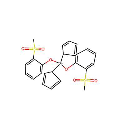 CS(=O)(=O)c1ccccc1[O][Zr]([O]c1ccccc1S(C)(=O)=O)([CH]1C=CC=C1)[CH]1C=CC=C1